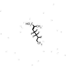 CC(=CC(F)(F)C(F)(F)C(F)CC(F)(F)F)C(=O)O